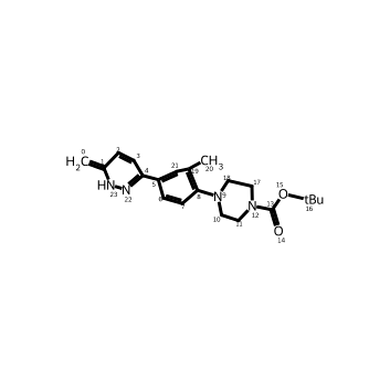 C=C1C=CC(c2ccc(N3CCN(C(=O)OC(C)(C)C)CC3)c(C)c2)=NN1